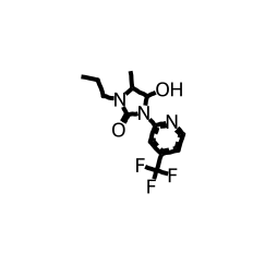 CCCN1C(=O)N(c2cc(C(F)(F)F)ccn2)C(O)C1C